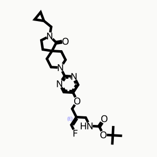 CC(C)(C)OC(=O)NC/C(=C\F)COc1cnc(N2CCC3(CCN(CC4CC4)C3=O)CC2)nc1